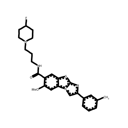 COc1cc2c(cc1C(=O)NCCCN1CCC(F)CC1)sc1nc(-c3cccc(C)c3)cn12